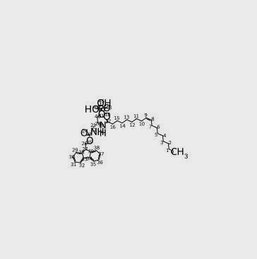 CCCCCCCC/C=C\CCCCCCCC(=O)N[C@H](CNC(=O)OCC1c2ccccc2-c2ccccc21)COP(=O)(O)O